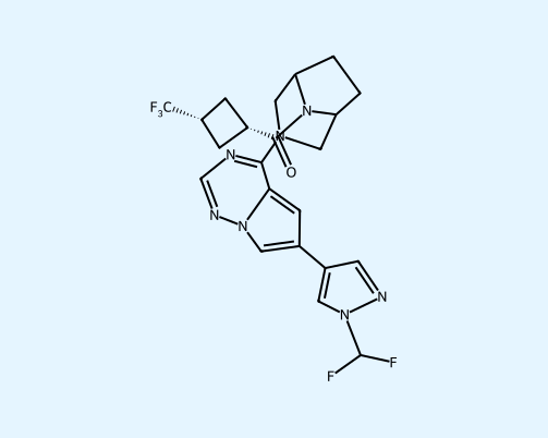 O=C([C@H]1C[C@@H](C(F)(F)F)C1)N1C2CCC1CN(c1ncnn3cc(-c4cnn(C(F)F)c4)cc13)C2